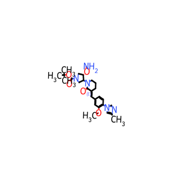 COc1cc(/C=C2\CCCN(C3CN(C(=O)OC(C)(C)C)CC3ON)C2=O)ccc1-n1cnc(C)c1